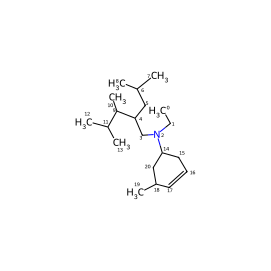 CCN(CC(CC(C)C)C(C)C(C)C)C1CC=CC(C)C1